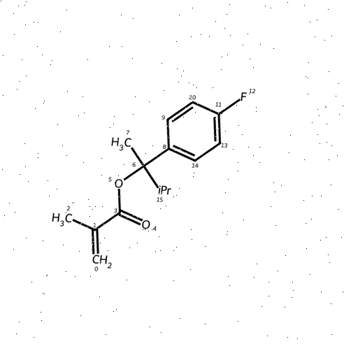 C=C(C)C(=O)OC(C)(c1ccc(F)cc1)C(C)C